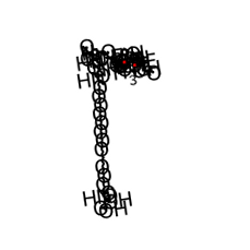 C[C@]12C=CC(=O)C=C1[C@@H](F)C[C@H]1[C@@H]3C[C@H]4O[C@@H](c5cccc(F)c5)O[C@@]4(C(=O)COP(=O)(O)OP(=O)(O)OCCNC(=O)CCc4ccc(N5C(=O)C=CC5=O)cc4C(=O)NCC(=O)NCC(=O)NCCOCCOCCOCCOCCOCCOCCOCCOCCCCCOCCOCCOCCC(=O)N[C@@H](CCC(=O)O)C(=O)O)C3C[C@H](O)[C@@]12F